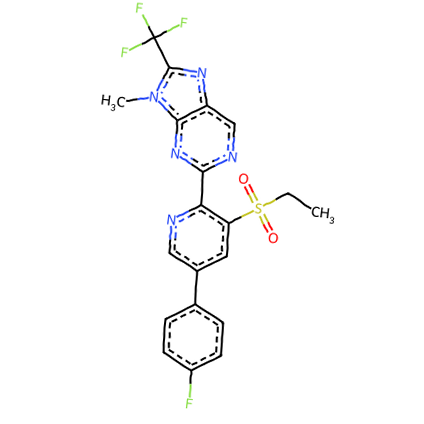 CCS(=O)(=O)c1cc(-c2ccc(F)cc2)cnc1-c1ncc2nc(C(F)(F)F)n(C)c2n1